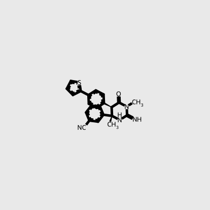 CN1C(=N)N[C@](C)(c2cccc(C#N)c2)[C@@H](c2ccc(-c3cccs3)cc2)C1=O